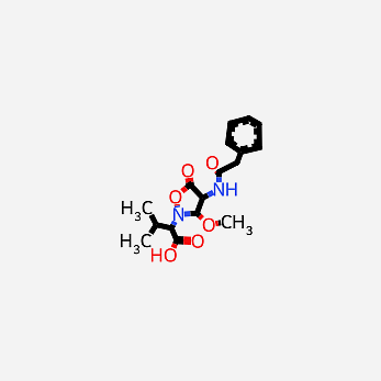 COC1C(NC(=O)Cc2ccccc2)C(=O)ON1C(C(=O)O)C(C)C